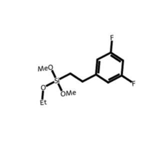 CCO[Si](CCc1cc(F)cc(F)c1)(OC)OC